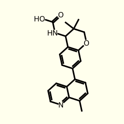 Cc1ccc(-c2ccc3c(c2)OCC(C)(C)C3NC(=O)O)c2cccnc12